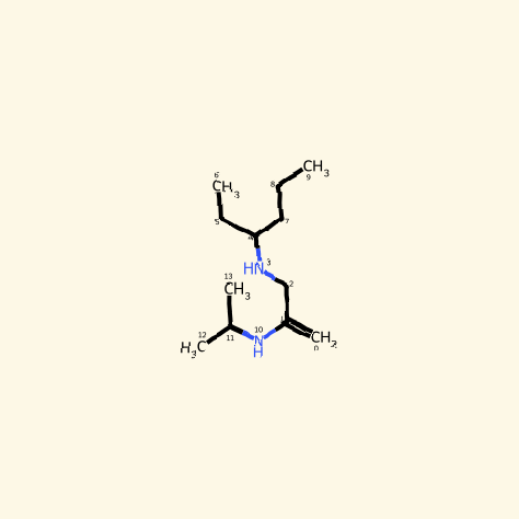 C=C(CNC(CC)CCC)NC(C)C